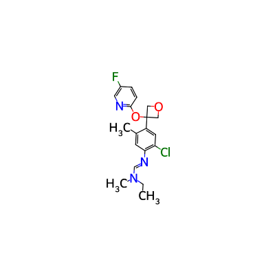 CCN(C)C=Nc1cc(C)c(C2(Oc3ccc(F)cn3)COC2)cc1Cl